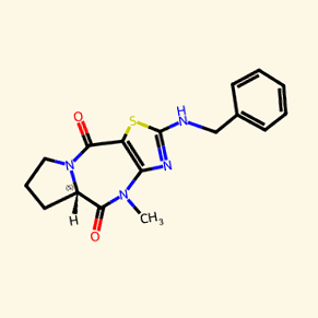 CN1C(=O)[C@@H]2CCCN2C(=O)c2sc(NCc3ccccc3)nc21